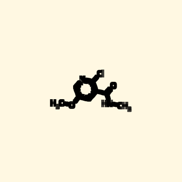 CNC(=O)c1cc(OC)cnc1Cl